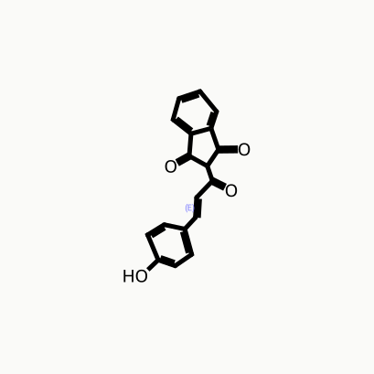 O=C(/C=C/c1ccc(O)cc1)C1C(=O)c2ccccc2C1=O